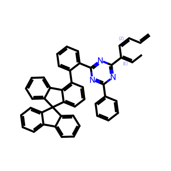 C=C/C=C\C(=C/C)c1nc(-c2ccccc2)nc(-c2ccccc2-c2cccc3c2-c2ccccc2C32c3ccccc3-c3ccccc32)n1